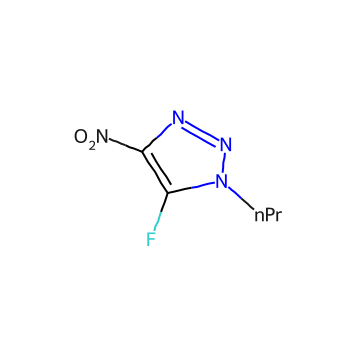 CCCn1nnc([N+](=O)[O-])c1F